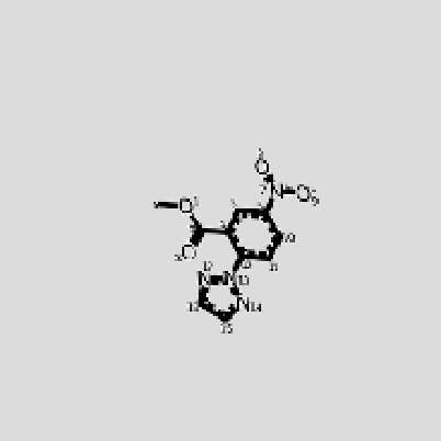 COC(=O)c1cc([N+](=O)[O-])ccc1-n1nccn1